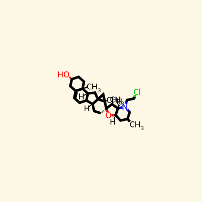 CC1C[C@H]2O[C@]3(CC[C@H]4C5CC=C6C[C@@H](O)CC[C@]6(C)[C@H]5CC45C[C@]53C)[C@H](C)[C@@H]2N(CCCl)C1